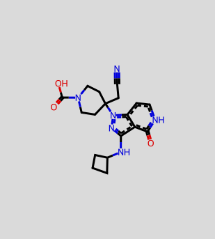 N#CCC1(n2nc(NC3CCC3)c3c(=O)[nH]ccc32)CCN(C(=O)O)CC1